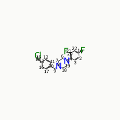 Fc1ccc(N2CCN(Cc3ccc(CCl)cc3)CC2)c(F)c1